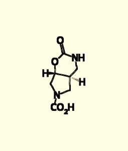 O=C1NC[C@H]2CN(C(=O)O)C[C@@H]2O1